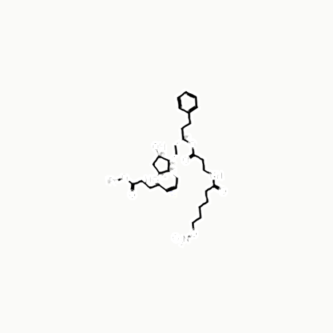 CC(C)OC(=O)CCC/C=C\C[C@@H]1[C@@H](CC[C@H](CCc2ccccc2)OC(=O)CCNC(=O)CCCCCO[N+](=O)[O-])[C@H](O)C[C@@H]1O